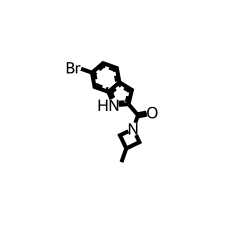 CC1CN(C(=O)c2cc3ccc(Br)cc3[nH]2)C1